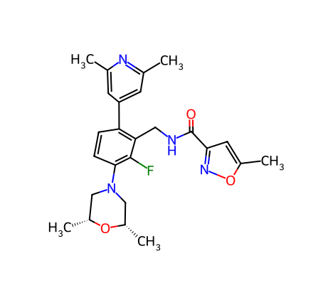 Cc1cc(-c2ccc(N3C[C@@H](C)O[C@@H](C)C3)c(F)c2CNC(=O)c2cc(C)on2)cc(C)n1